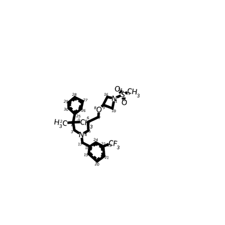 CC(C)(CN(CCCOC1CN(S(C)(=O)=O)C1)Cc1cccc(C(F)(F)F)c1)c1ccccc1